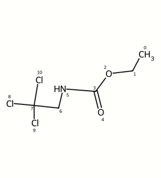 CCOC(=O)NCC(Cl)(Cl)Cl